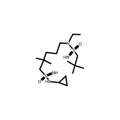 CCN(CCCC(C)(C)CS(=N)(=O)NC1CC1)S(=N)(=O)CC(C)(C)C